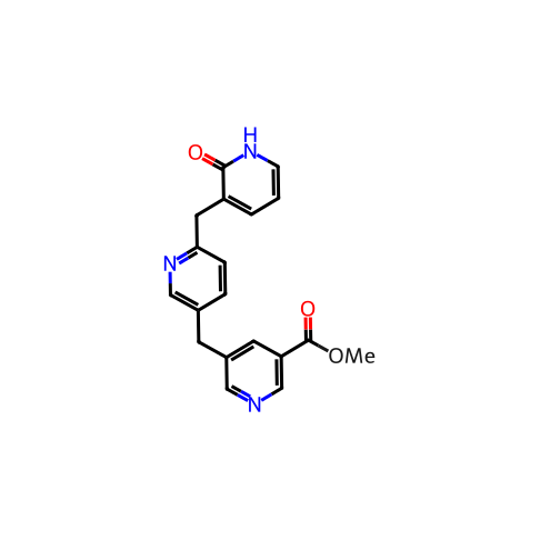 COC(=O)c1cncc(Cc2ccc(Cc3ccc[nH]c3=O)nc2)c1